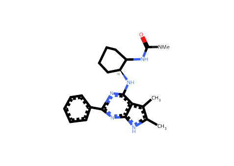 CNC(=O)NC1CCCC[C@@H]1Nc1nc(-c2ccccc2)nc2[nH]c(C)c(C)c12